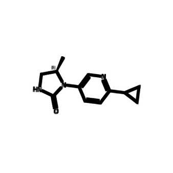 C[C@@H]1CNC(=O)N1c1ccc(C2CC2)nc1